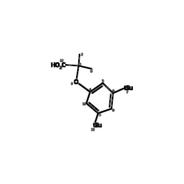 CC(C)(Oc1cc(C(C)(C)C)cc(C(C)(C)C)c1)C(=O)O